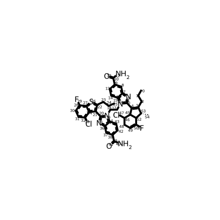 CCCC1=C(c2nc3cc(C(N)=O)ccc3n2CCn2c(-c3c(CCC)sc4c(F)ccc(Cl)c34)nc3cc(C(N)=O)ccc32)C2C(Cl)CC=C(F)C2[C@H]1C